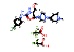 CO[C@H](C)[C@H](NC(=O)Nc1ccc(Cl)cc1)C(=O)N1CCN(C2CCN(C)CC2)CC1.O=C(O)C(F)(F)F.O=C(O)C(F)(F)F